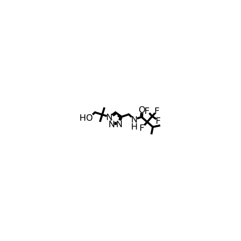 CC(C)C(F)(C(=O)NCc1cn(C(C)(C)CO)nn1)C(F)(F)F